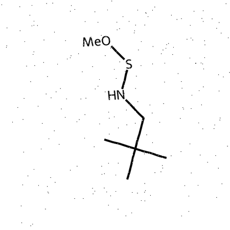 COSNCC(C)(C)C